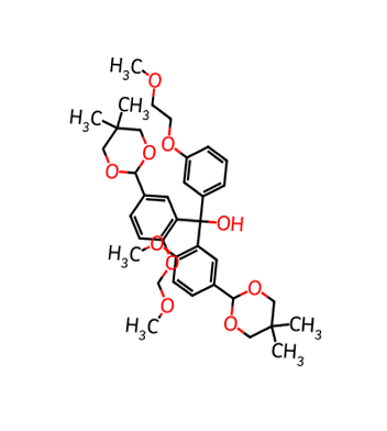 COCCOc1cccc(C(O)(c2cc(C3OCC(C)(C)CO3)ccc2OC)c2cc(C3OCC(C)(C)CO3)ccc2OCOC)c1